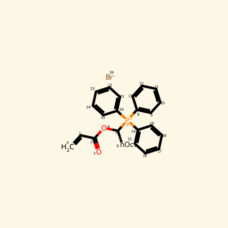 C=CC(=O)OC(CCCCCCCC)[P+](c1ccccc1)(c1ccccc1)c1ccccc1.[Br-]